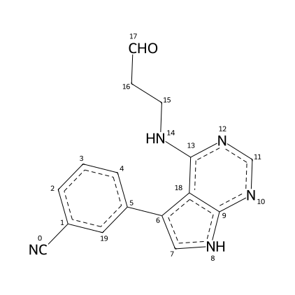 N#Cc1cccc(-c2c[nH]c3ncnc(NCCC=O)c23)c1